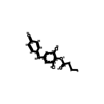 CCCC(=O)Oc1c(Cl)cc(N=C2C=CC(=O)C=C2)cc1Cl